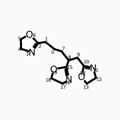 C(CC1=NCCO1)CC(CC1=NCCO1)C1=NCCO1